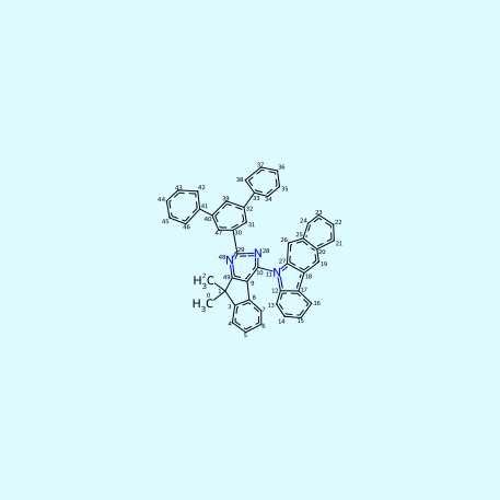 CC1(C)c2ccccc2-c2c(-n3c4ccccc4c4cc5ccccc5cc43)nc(-c3cc(-c4ccccc4)cc(-c4ccccc4)c3)nc21